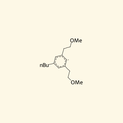 CCCCc1cc(CCOC)[c]c(CCOC)c1